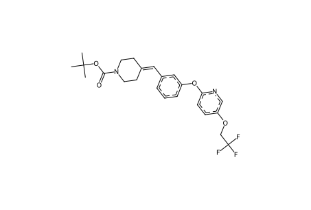 CC(C)(C)OC(=O)N1CCC(=Cc2cccc(Oc3ccc(OCC(F)(F)F)cn3)c2)CC1